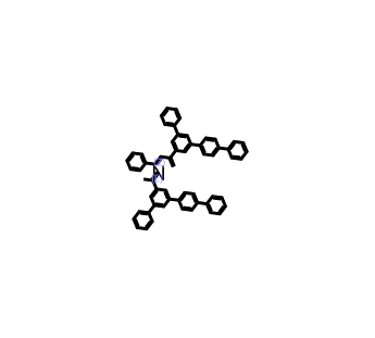 C=C(/C=C(\N=C(/C)c1cc(-c2ccccc2)cc(-c2ccc(-c3ccccc3)cc2)c1)c1ccccc1)c1cc(-c2ccccc2)cc(-c2ccc(-c3ccccc3)cc2)c1